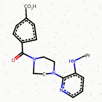 CC(C)Nc1cccnc1N1CCN(C(=O)c2ccc(C(=O)O)cc2)CC1